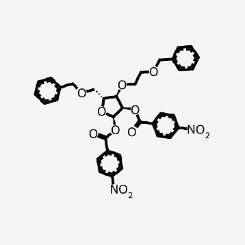 O=C(O[C@H]1O[C@H](COCc2ccccc2)[C@@H](OCCOCc2ccccc2)[C@H]1OC(=O)c1ccc([N+](=O)[O-])cc1)c1ccc([N+](=O)[O-])cc1